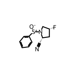 N#C[C@H]1C[C@@H](F)CN1[S+]([O-])c1ccccc1